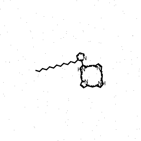 CCCCCCCCCCCCc1cccnc1-c1cc2cc3nc(cc4ccc(cc5nc(cc1[nH]2)C=C5)[nH]4)C=C3